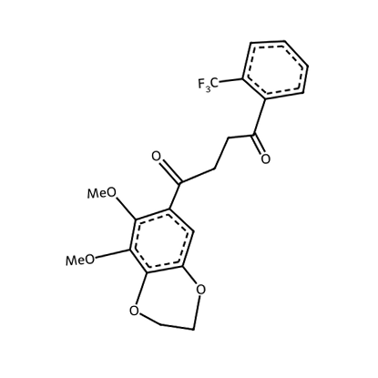 COc1c(C(=O)CCC(=O)c2ccccc2C(F)(F)F)cc2c(c1OC)OCCO2